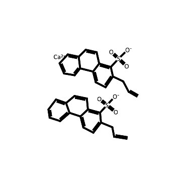 C=CCc1ccc2c(ccc3ccccc32)c1S(=O)(=O)[O-].C=CCc1ccc2c(ccc3ccccc32)c1S(=O)(=O)[O-].[Ca+2]